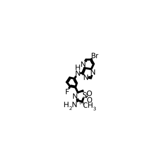 C[C@@H]1C(N)=NC(c2cc(Nc3ncnc4cc(Br)cnc34)ccc2F)CS1(=O)=O